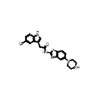 O=C(Cc1c[nH]c2ccc(Cl)cc12)Nc1nc2cc(N3CCNCC3)ccc2s1